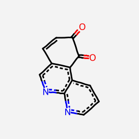 O=C1C=Cc2cnc3ncccc3c2C1=O